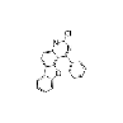 Clc1nc(-c2ccccc2)c2c(ccc3c4ccccc4oc32)n1